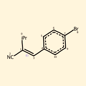 CC(C)/C(C#N)=C\c1ccc(Br)cc1